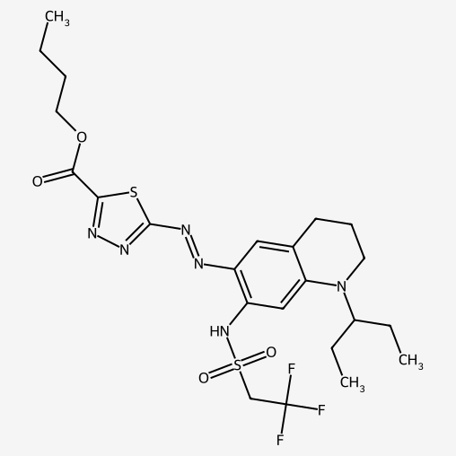 CCCCOC(=O)c1nnc(N=Nc2cc3c(cc2NS(=O)(=O)CC(F)(F)F)N(C(CC)CC)CCC3)s1